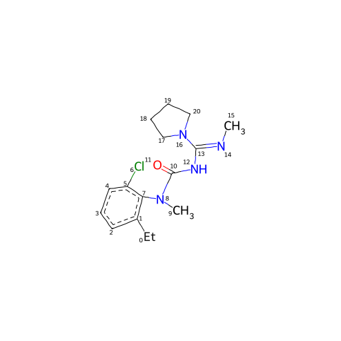 CCc1cccc(Cl)c1N(C)C(=O)NC(=NC)N1CCCC1